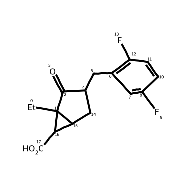 CCC12C(=O)C(Cc3cc(F)ccc3F)CC1C2C(=O)O